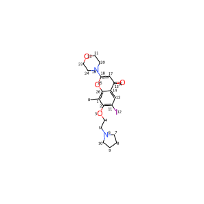 Cc1c(OCCN2CCCC2)c(I)cc2c(=O)cc(N3CCOCC3)oc12